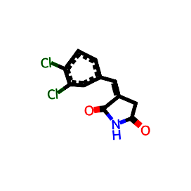 O=C1CC(=Cc2ccc(Cl)c(Cl)c2)C(=O)N1